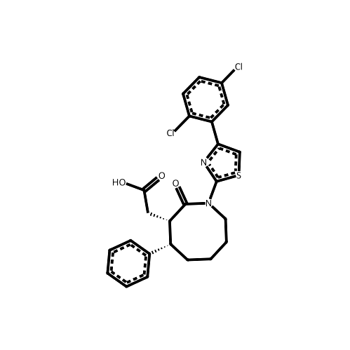 O=C(O)C[C@@H]1C(=O)N(c2nc(-c3cc(Cl)ccc3Cl)cs2)CCCC[C@@H]1c1ccccc1